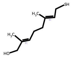 C/C(=C\CC/C(C)=C/CS)CO